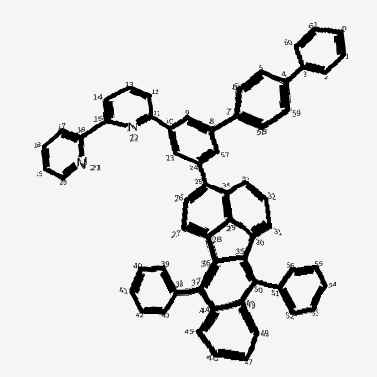 c1ccc(-c2ccc(-c3cc(-c4cccc(-c5ccccn5)n4)cc(-c4ccc5c6c(cccc46)-c4c-5c(-c5ccccc5)c5ccccc5c4-c4ccccc4)c3)cc2)cc1